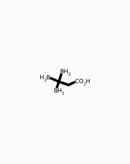 BC(B)(B)CC(=O)O